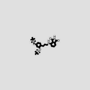 CC(C)(C)[Si](C)(C)Oc1ccc(CCCNc2cccc3c2C(=O)NC3=O)c(O[Si](C)(C)C(C)(C)C)c1